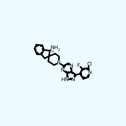 N[C@@H]1c2ccccc2CC12CCN(c1cnc3c(-c4ccnc(Cl)c4F)n[nH]c3n1)CC2